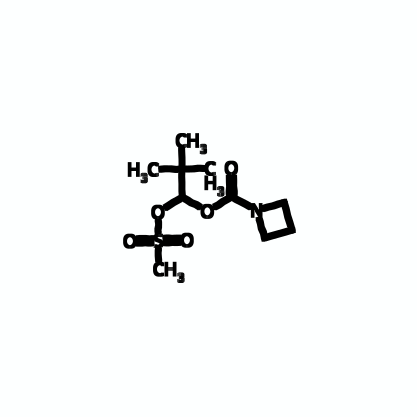 CC(C)(C)C(OC(=O)N1CCC1)OS(C)(=O)=O